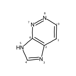 [c]1cc2nc[nH]c2nn1